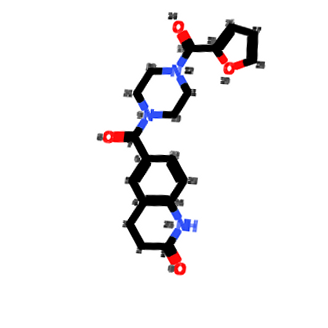 O=C1CCc2cc(C(=O)N3CCN(C(=O)c4ccco4)CC3)ccc2N1